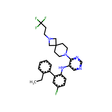 CCc1ccccc1-c1cc(F)ccc1Nc1cncnc1N1CCC2(CC1)CN(CCC(F)(F)F)C2